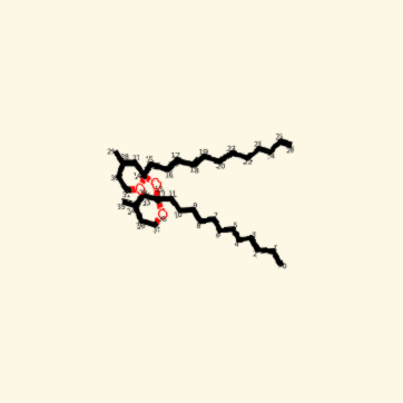 CCCCCCCCCCCCC1(OC2(CCCCCCCCCCCC)CC(C)CCO2)CC(C)CCO1